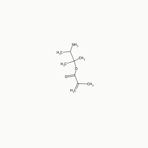 C=C(C)C(=O)OC(C)(C)C(C)[SiH3]